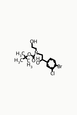 CC(C)(C)OC(=O)N(CCO)CC(O)c1ccc(Br)c(Cl)c1